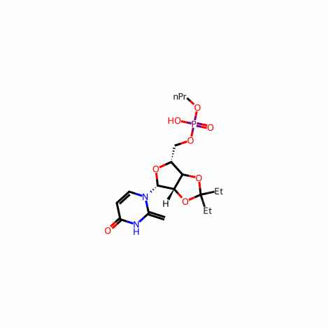 C=C1NC(=O)C=CN1[C@@H]1O[C@H](COP(=O)(O)OCCC)C2OC(CC)(CC)O[C@@H]21